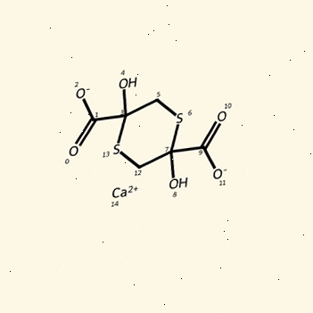 O=C([O-])C1(O)CSC(O)(C(=O)[O-])CS1.[Ca+2]